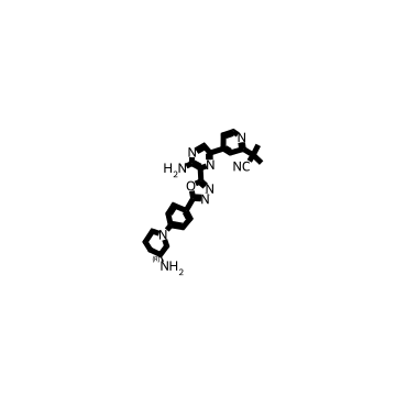 CC(C)(C#N)c1cc(-c2cnc(N)c(-c3nnc(-c4ccc(N5CCC[C@@H](N)C5)cc4)o3)n2)ccn1